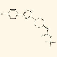 CC(C)(C)OC(=O)N[C@H]1CC[C@H](c2nc(-c3ccc(Cl)cc3)co2)CC1